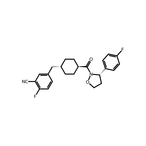 N#Cc1cc(C[C@H]2CC[C@H](C(=O)N3OCC[C@H]3c3ccc(F)cc3)CC2)ccc1F